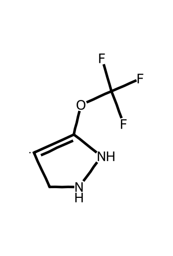 FC(F)(F)OC1=[C]CNN1